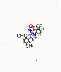 [CH]c1ccc(C=O)c(C2=CCN(c3cccc(C(F)(F)F)c3)C(N3CCOCC3)=C2)c1